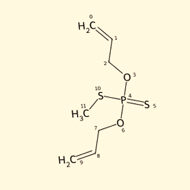 C=CCOP(=S)(OCC=C)SC